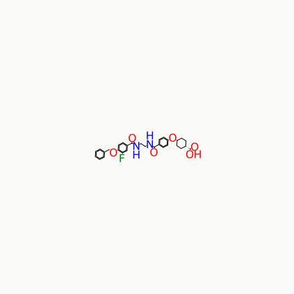 O=C(NCCNC(=O)c1ccc(OCc2ccccc2)c(F)c1)c1ccc(O[C@H]2CC[C@@H](C(=O)O)CC2)cc1